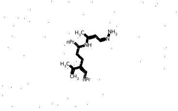 C=C(C)/C(=C\CCC)CCC(CCC)N/C(C)=C\C=N/N